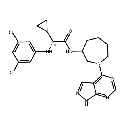 O=C(NC1CCCCN(c2ncnc3[nH]ncc23)C1)[C@H](Nc1cc(Cl)cc(Cl)c1)C1CC1